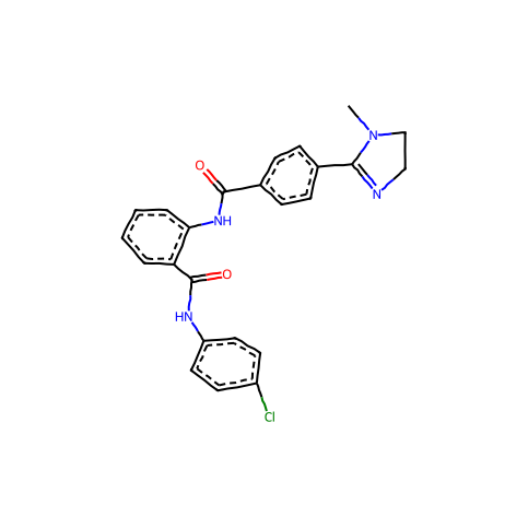 CN1CCN=C1c1ccc(C(=O)Nc2ccccc2C(=O)Nc2ccc(Cl)cc2)cc1